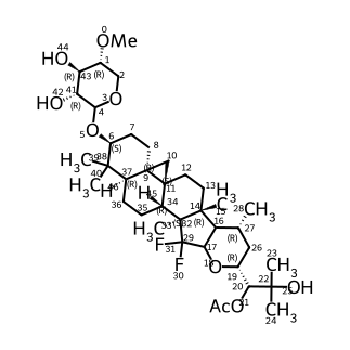 CO[C@@H]1COC(O[C@H]2CC[C@]34C[C@]35CC[C@]3(C)C6C(O[C@@H](C(OC(C)=O)C(C)(C)O)C[C@H]6C)C(F)(F)[C@@]3(C)[C@@H]5CC[C@H]4C2(C)C)[C@H](O)[C@H]1O